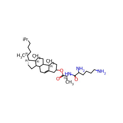 CC(C)CCC[C@@H](C)[C@H]1CCC2C3CC=C4CC(OC(=O)[C@H](C)NC(=O)C(N)CCCCN)CC[C@]4(C)C3CC[C@@]21C